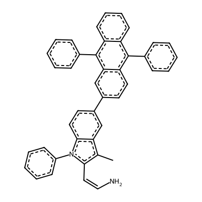 Cc1c(/C=C\N)n(-c2ccccc2)c2ccc(-c3ccc4c(-c5ccccc5)c5ccccc5c(-c5ccccc5)c4c3)cc12